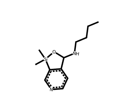 CCCCNC1O[Si](C)(C)c2cnccc21